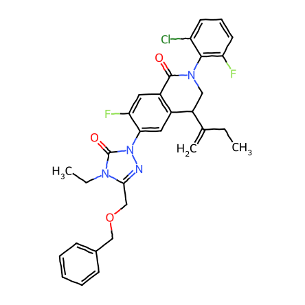 C=C(CC)C1CN(c2c(F)cccc2Cl)C(=O)c2cc(F)c(-n3nc(COCc4ccccc4)n(CC)c3=O)cc21